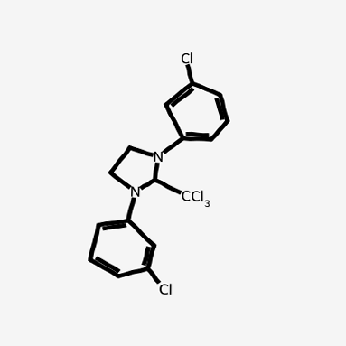 Clc1cccc(N2CCN(c3cccc(Cl)c3)C2C(Cl)(Cl)Cl)c1